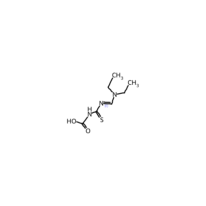 CCN(/C=N/C(=S)NC(=O)O)CC